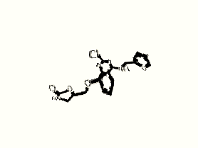 O=C1NCC(COc2cccc3c(NCc4ccco4)nc(Cl)nc23)O1